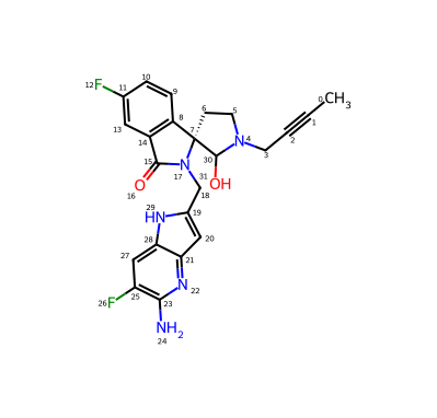 CC#CCN1CC[C@]2(c3ccc(F)cc3C(=O)N2Cc2cc3nc(N)c(F)cc3[nH]2)C1O